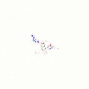 CCOc1cc2c(-c3ccn(CCOC)c(=O)c3)c(CO)c(CO)cc2cc1OC=NN=C(C)N=[N+]=[N-]